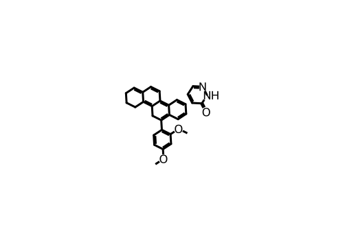 COc1ccc(C2=c3ccccc3=c3ccc4c(c3C2)CCCC=4)c(OC)c1.O=c1cccn[nH]1